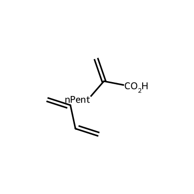 C=C(CCCCC)C(=O)O.C=CC=C